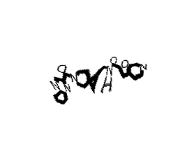 O=C(NCC1CC12CCN(C(=O)c1cnc3ccccc3n1)CC2)c1cc2ccncc2o1